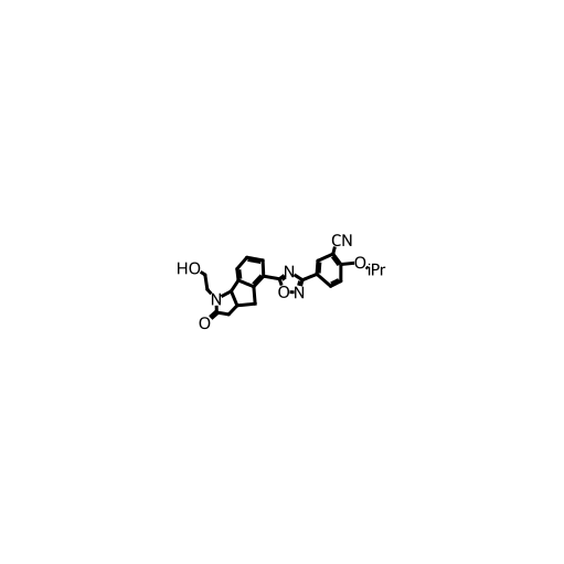 CC(C)Oc1ccc(-c2noc(-c3cccc4c3CC3CC(=O)N(CCO)C43)n2)cc1C#N